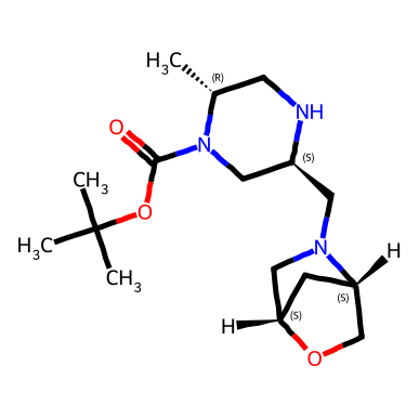 C[C@@H]1CN[C@@H](CN2C[C@@H]3C[C@H]2CO3)CN1C(=O)OC(C)(C)C